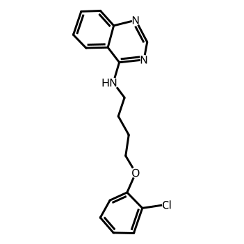 Clc1ccccc1OCCCCNc1ncnc2ccccc12